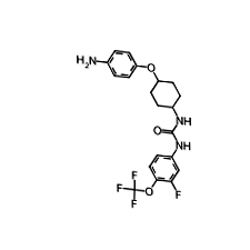 Nc1ccc(OC2CCC(NC(=O)Nc3ccc(OC(F)(F)F)c(F)c3)CC2)cc1